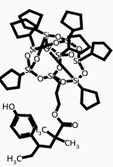 CCC(CC(C)(C)C(=O)OCCC[Si]12O[Si]3(C4CCCC4)O[Si]4(C5CCCC5)O[Si](C5CCCC5)(O1)O[Si]1(C5CCCC5)O[Si](C5CCCC5)(O2)O[Si](C2CCCC2)(O3)O[Si](C2CCCC2)(O4)O1)c1ccc(O)cc1